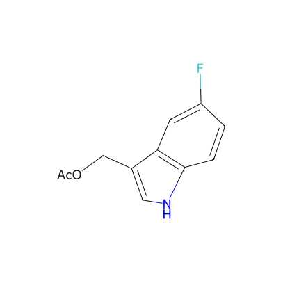 CC(=O)OCc1c[nH]c2ccc(F)cc12